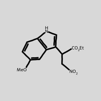 CCOC(=O)C(C[N+](=O)[O-])c1c[nH]c2ccc(OC)cc12